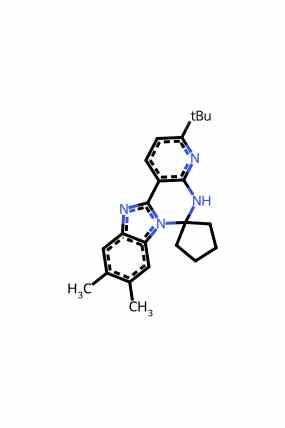 Cc1cc2nc3n(c2cc1C)C1(CCCC1)Nc1nc(C(C)(C)C)ccc1-3